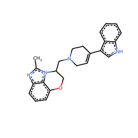 Cc1nc2cccc3c2n1C(CN1CC=C(c2c[nH]c4ccccc24)CC1)CO3